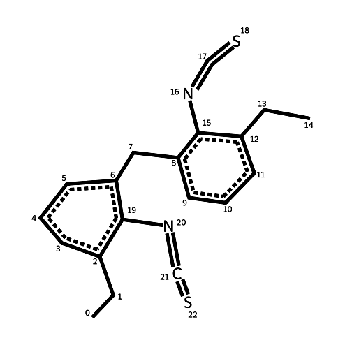 CCc1cccc(Cc2cccc(CC)c2N=C=S)c1N=C=S